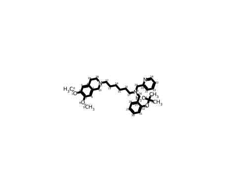 COc1cc2c(cc1OC)CN(CCCCCCN(Cc1ccccn1)Cc1ccccc1OC(C)(C)C)CC2